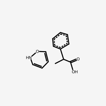 C1=CNOC=C1.CC(C(=O)O)c1ccccc1